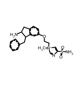 C[N+]1(CCOc2ccc3c(c2)C(Cc2ccccc2)C(N)C3)C=NC(S(N)(=O)=O)=C1